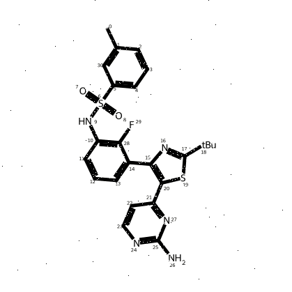 Cc1cccc(S(=O)(=O)Nc2cccc(-c3nc(C(C)(C)C)sc3-c3ccnc(N)n3)c2F)c1